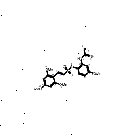 COc1ccc(NS(=O)(=O)/C=C/c2c(OC)cc(OC)cc2OC)c(NC(=N)N)c1